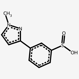 Cn1ccc(-c2cccc(S(=O)O)c2)n1